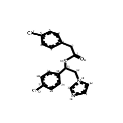 O=C(Cc1ccc(Cl)cc1)SC(Cn1ccnc1)c1ccc(Cl)cc1